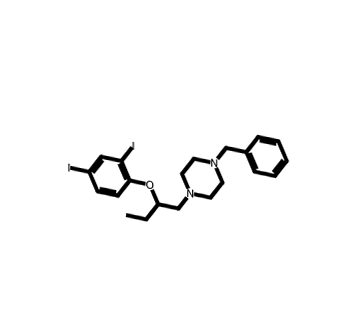 CCC(CN1CCN(Cc2ccccc2)CC1)Oc1ccc(I)cc1I